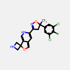 Fc1c(Cl)cc(C2(C(F)(F)F)CC(C3=CC4=COC5(CNC5)C4=CN3)=NO2)cc1Cl